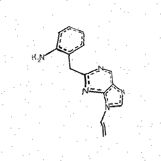 C=Cn1cnc2cnc(Cc3ccccc3N)nc21